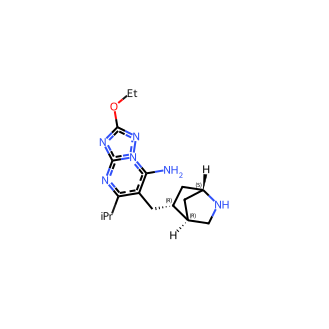 CCOc1nc2nc(C(C)C)c(C[C@@H]3C[C@H]4C[C@H]3CN4)c(N)n2n1